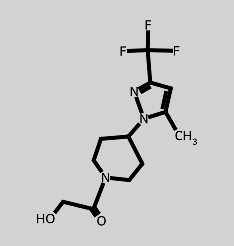 Cc1cc(C(F)(F)F)nn1C1CCN(C(=O)CO)CC1